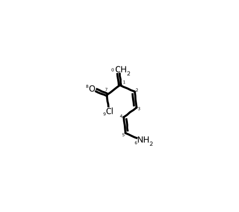 C=C(/C=C\C=C/N)C(=O)Cl